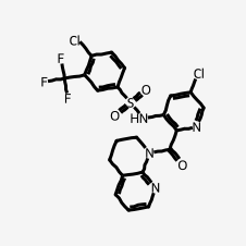 O=C(c1ncc(Cl)cc1NS(=O)(=O)c1ccc(Cl)c(C(F)(F)F)c1)N1CCCc2cccnc21